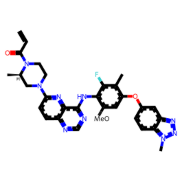 C=CC(=O)N1CCN(c2ccc3ncnc(Nc4c(OC)cc(Oc5ccc6c(c5)nnn6C)c(C)c4F)c3n2)C[C@H]1C